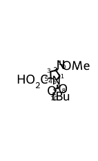 CON=C1CC(C(=O)O)N(C(=O)OC(C)(C)C)C1